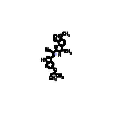 CCC(C)Oc1cnc2[nH]cc(/C=C(\C#N)C(=O)N[C@H](C)c3ccc(OC)c(OC)c3)c2c1